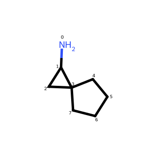 NC1CC12CCCC2